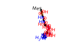 CSCCC(O)C(=O)SCCNC(=O)CCNC(=O)[C@H](O)C(C)(C)COP(=O)(O)OP(=O)(O)OC[C@H]1O[C@@H](n2cnc3c(N)ncnc32)[C@H](O)[C@@H]1OP(=O)(O)O